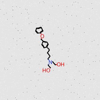 OCCN(CCO)CCCCc1ccc(COc2ccccc2)cc1